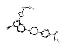 CN[C@H]1C[C@H](n2cc(C#N)c3ccc(N4CCN(c5ccc(C(C)=O)nn5)CC4)nc32)C1